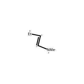 CC/C=C/[N]C